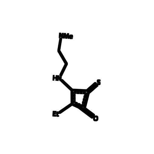 CCc1c(NCCNC)c(=S)c1=O